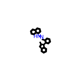 CC1=Cc2ccccc2C1c1ccccc1C=NNc1cccc2ccccc12